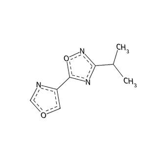 CC(C)c1noc(-c2cocn2)n1